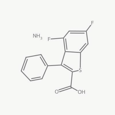 N.O=C(O)c1sc2cc(F)cc(F)c2c1-c1ccccc1